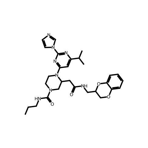 CCCNC(=O)N1CCN(c2cc(C(C)C)nc(-n3ccnc3)n2)C(CC(=O)NCC2COc3ccccc3O2)C1